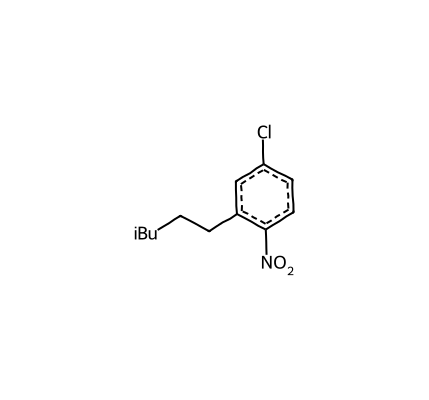 CCC(C)CCc1cc(Cl)ccc1[N+](=O)[O-]